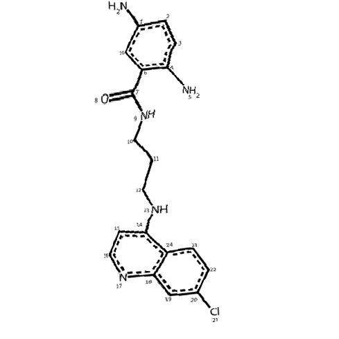 Nc1ccc(N)c(C(=O)NCCCNc2ccnc3cc(Cl)ccc23)c1